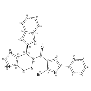 O=C(c1oc(-c2ccccn2)nc1Br)N1CCc2[nH]cnc2[C@H]1c1nc2ccccc2s1